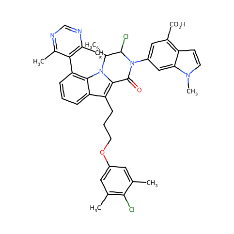 Cc1cc(OCCCc2c3n(c4c(-c5c(C)ncnc5C)cccc24)[C@H](C)C(Cl)N(c2cc(C(=O)O)c4ccn(C)c4c2)C3=O)cc(C)c1Cl